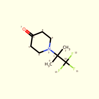 CC(C)(N1CCC(=O)CC1)C(F)(F)F